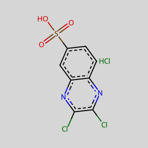 Cl.O=S(=O)(O)c1ccc2nc(Cl)c(Cl)nc2c1